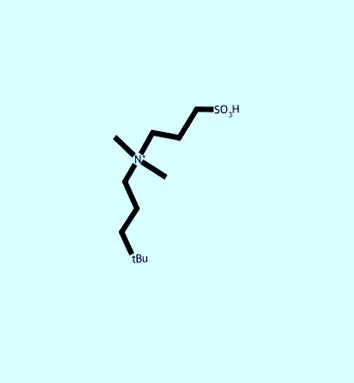 CC(C)(C)CCC[N+](C)(C)CCCS(=O)(=O)O